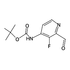 CC(C)(C)OC(=O)Nc1ccnc(C=O)c1F